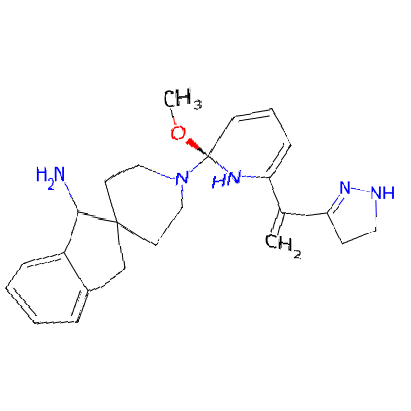 C=C(C1=CC=C[C@@](OC)(N2CCC3(CC2)Cc2ccccc2C3N)N1)C1=NNCC1